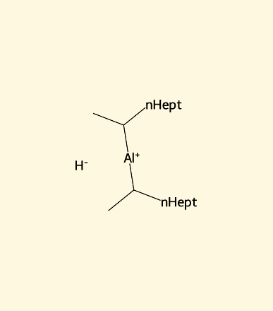 CCCCCCC[CH](C)[Al+][CH](C)CCCCCCC.[H-]